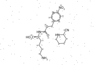 N#CC1CCCCN1.NCCCC[C@H](NC(=O)OCc1ccc([N+](=O)[O-])cc1)C(=O)O